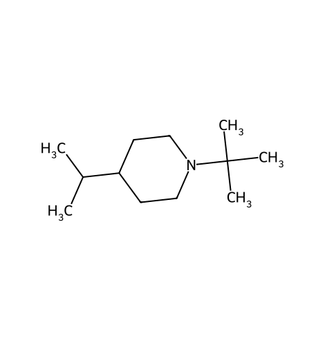 CC(C)C1CCN(C(C)(C)C)CC1